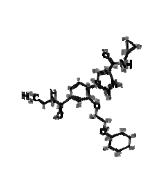 CCNC(=O)c1ccc(-n2cc(C(=O)NC3CC3)nn2)c(OCCOC2CCCCC2)c1